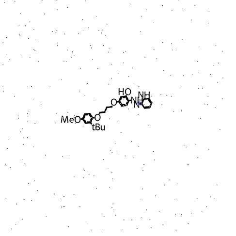 COc1ccc(OCCCCOc2ccc(N/N=C3/C=CC=CC3=N)c(O)c2)c(C(C)(C)C)c1